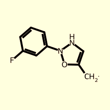 [CH2]C1=CNN(c2cccc(F)c2)O1